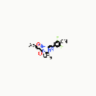 CC(=O)c1cc(C(=O)N[C@H](C)Cn2ccc(-c3cc(F)c(C#N)c(F)c3)n2)no1